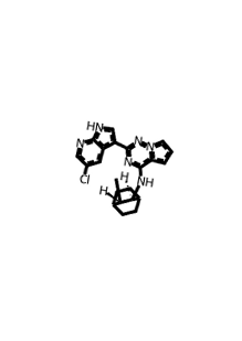 C[C@H]1C2CCC(CC2)[C@@H]1Nc1nc(-c2c[nH]c3ncc(Cl)cc23)nn2cccc12